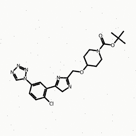 CC(C)(C)OC(=O)N1CCC(OCC2=NCC(c3cc(-n4cnnn4)ccc3Cl)=N2)CC1